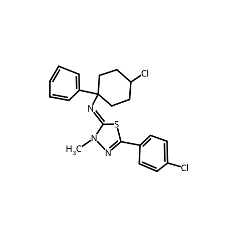 Cn1nc(-c2ccc(Cl)cc2)sc1=NC1(c2ccccc2)CCC(Cl)CC1